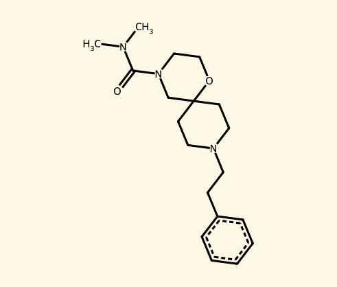 CN(C)C(=O)N1CCOC2(CCN(CCc3ccccc3)CC2)C1